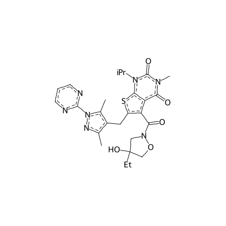 CCC1(O)CON(C(=O)c2c(Cc3c(C)nn(-c4ncccn4)c3C)sc3c2c(=O)n(C)c(=O)n3C(C)C)C1